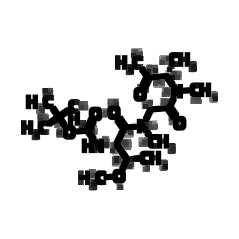 CO[C@H](C)[C@H](NC(=O)OC(C)(C)C)C(=O)N(C)CC(=O)N(C)[C@@H](C)C(C)=O